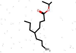 BCCCC(CCC)CCCC(=O)OC(C)C